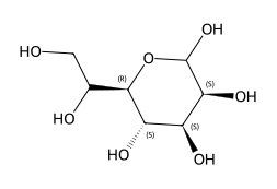 OCC(O)[C@H]1OC(O)[C@@H](O)[C@@H](O)[C@@H]1O